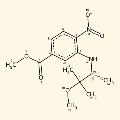 COC(=O)c1ccc([N+](=O)[O-])c(N[C@H](C)C(C)(C)OC)c1